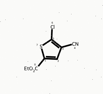 CCOC(=O)c1cc(C#N)c(Cl)s1